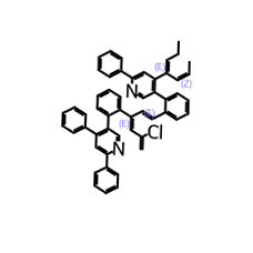 C=C(Cl)/C=C(\C=C\c1ccccc1-c1cnc(-c2ccccc2)cc1C(/C=C\C)=C/CC)c1ccccc1-c1cnc(-c2ccccc2)cc1-c1ccccc1